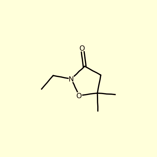 CCN1OC(C)(C)CC1=O